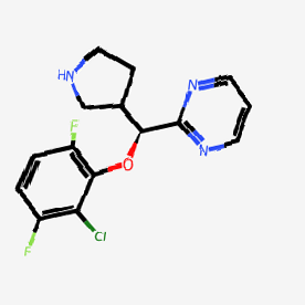 Fc1ccc(F)c(O[C@H](c2ncccn2)C2CCNC2)c1Cl